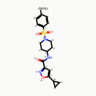 CC(=O)Nc1ccc(S(=O)(=O)N2CCC(NC(=O)c3cc(C4CC4)on3)CC2)cc1